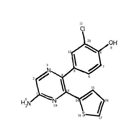 Nc1cnc(-c2ccc(O)c(Cl)c2)c(-c2cccs2)n1